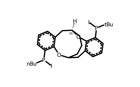 CCCCP(I)c1cccc2c1OC1CCC[C@H](C2)Oc2c(cccc2P(I)C(C)(C)C)C1